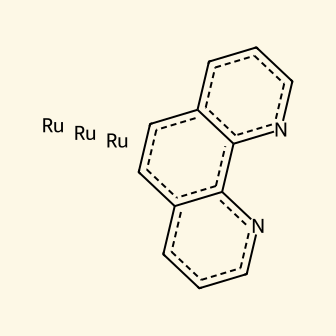 [Ru].[Ru].[Ru].c1cnc2c(c1)ccc1cccnc12